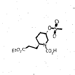 CCOC(=O)CC[C@H]1CC[C@H](OS(C)(=O)=O)CN1C(=O)O